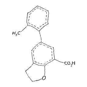 Cc1ccccc1-c1cc2c(c(C(=O)O)c1)OCC2